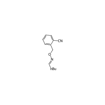 CCCCC=NOCc1ccccc1C#N